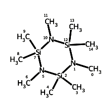 CN1[Si](C)(C)N(C)[Si](C)(C)N(C)[Si]1(C)C